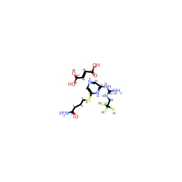 NC(=O)CCCSc1cncc(NC(N)=NCC(F)(F)F)n1.O=C(O)C=CC(=O)O